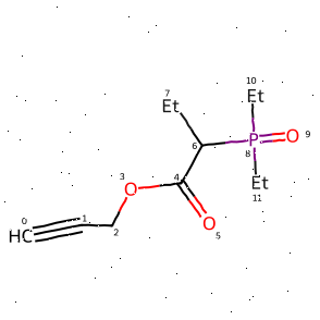 C#CCOC(=O)C(CC)P(=O)(CC)CC